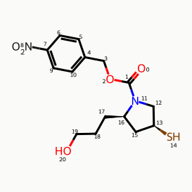 O=C(OCc1ccc([N+](=O)[O-])cc1)N1C[C@@H](S)C[C@H]1CCCO